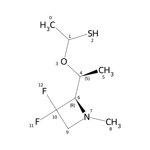 CC(S)O[C@@H](C)[C@H]1N(C)CC1(F)F